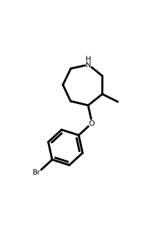 CC1CNCCCC1Oc1ccc(Br)cc1